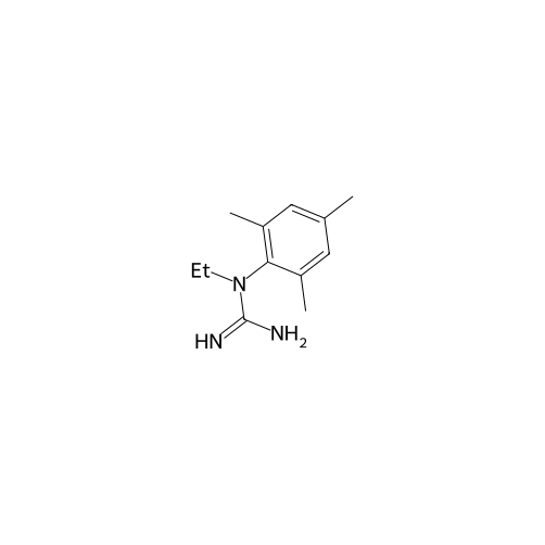 CCN(C(=N)N)c1c(C)cc(C)cc1C